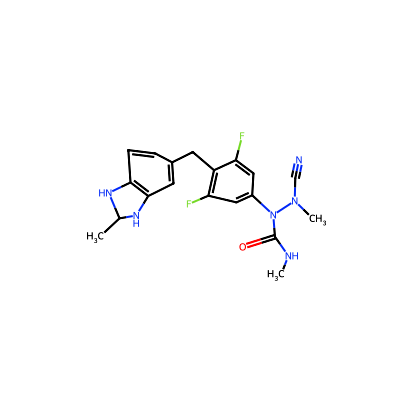 CNC(=O)N(c1cc(F)c(Cc2ccc3c(c2)NC(C)N3)c(F)c1)N(C)C#N